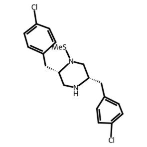 CSN1C[C@H](Cc2ccc(Cl)cc2)NC[C@@H]1Cc1ccc(Cl)cc1